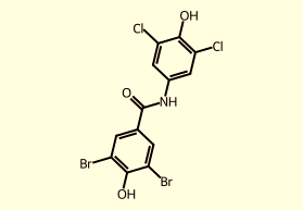 O=C(Nc1cc(Cl)c(O)c(Cl)c1)c1cc(Br)c(O)c(Br)c1